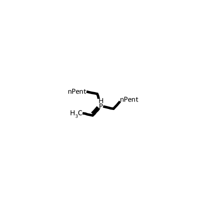 CC=[PH](CCCCCC)CCCCCC